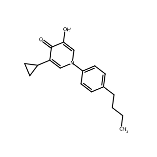 CCCCc1ccc(-n2cc(O)c(=O)c(C3CC3)c2)cc1